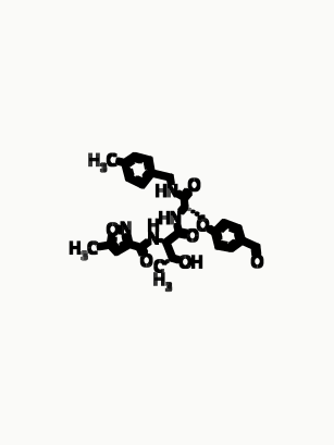 Cc1ccc(CNC(=O)[C@H](COc2ccc(C=O)cc2)NC(=O)[C@@H](NC(=O)c2cc(C)on2)[C@@H](C)O)cc1